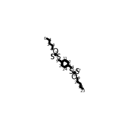 CCCCCOC(=S)SCc1ccc(CSC(=S)OCCCCC)cc1